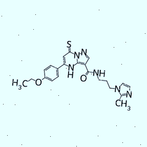 CCOc1ccc(-c2cc(=S)n3ncc(C(=O)NCCCn4ccnc4C)c3[nH]2)cc1